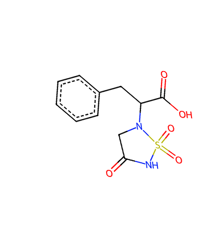 O=C1CN(C(Cc2ccccc2)C(=O)O)S(=O)(=O)N1